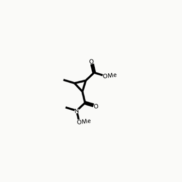 COC(=O)C1C(C)C1C(=O)N(C)OC